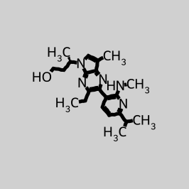 CCc1nc2c(nc1-c1ccc(C(C)C)nc1NC)c(C)cn2[C@H](C)CCO